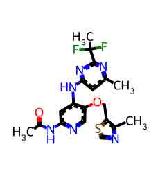 CC(=O)Nc1cc(Nc2cc(C)nc(C(C)(F)F)n2)c(OCc2scnc2C)cn1